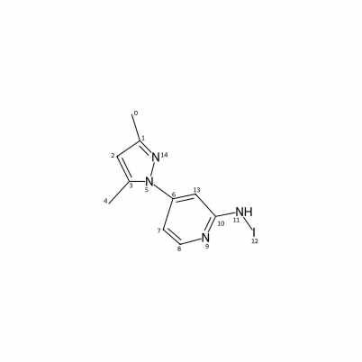 Cc1cc(C)n(-c2ccnc(NI)c2)n1